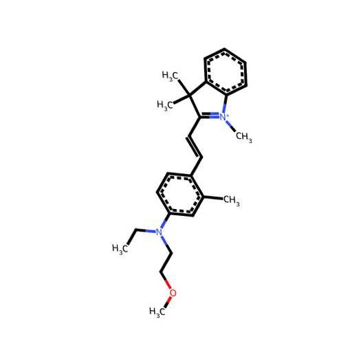 CCN(CCOC)c1ccc(/C=C/C2=[N+](C)c3ccccc3C2(C)C)c(C)c1